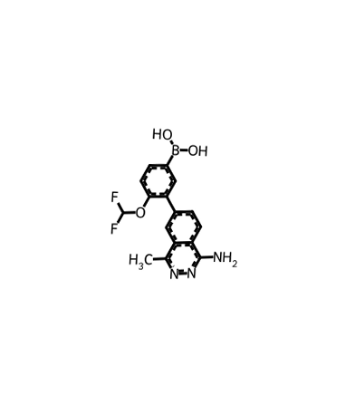 Cc1nnc(N)c2ccc(-c3cc(B(O)O)ccc3OC(F)F)cc12